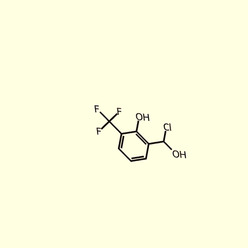 Oc1c(C(O)Cl)cccc1C(F)(F)F